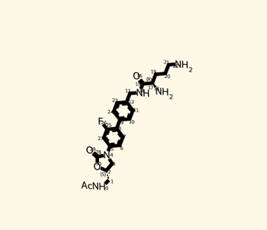 CC(=O)NC[C@H]1CN(c2ccc(-c3ccc(CNC(=O)[C@H](N)CCCN)cc3)c(F)c2)C(=O)O1